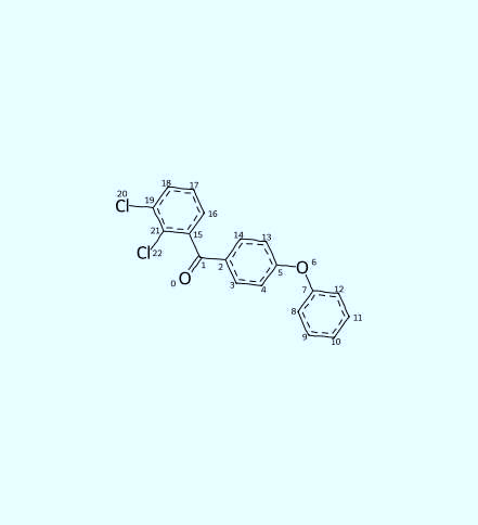 O=C(c1ccc(Oc2ccccc2)cc1)c1cccc(Cl)c1Cl